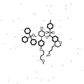 COCCCN1CCOc2ccc(C(O[C@H]3CNC[C@@H](COC(c4ccccc4)(c4ccccc4)c4ccccc4)[C@@H]3c3ccc(OCCC[C@@H](C)OC)cc3)S(=O)(=O)c3ccc(C)cc3)cc21